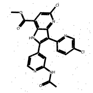 COC(=O)c1cc(Cl)nc2c(-c3ccc(Cl)cn3)c(-c3ccnc(NC(C)=O)c3)[nH]c12